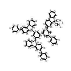 CC1(C)c2ccccc2-c2ccc(-c3cc(-c4cc(-n5c6ccccc6c6cc(-c7ccccc7)ccc65)cc(-n5c6ccccc6c6cc(-c7ccccc7)ccc65)c4)nc(-c4ccccc4)n3)cc21